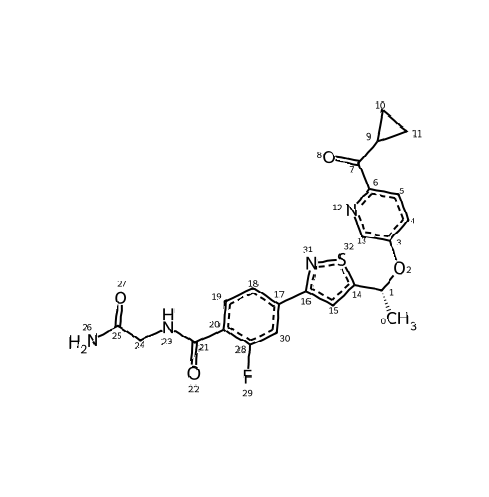 C[C@@H](Oc1ccc(C(=O)C2CC2)nc1)c1cc(-c2ccc(C(=O)NCC(N)=O)c(F)c2)ns1